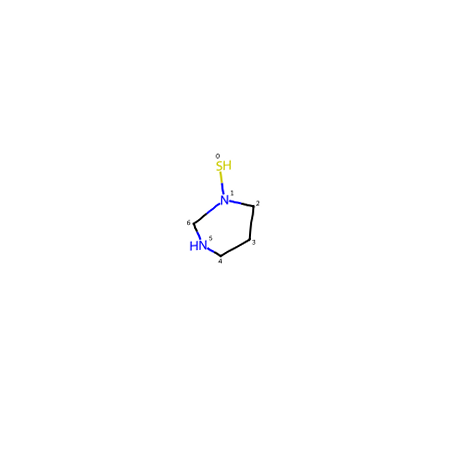 SN1CCCNC1